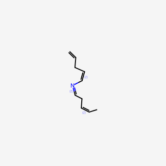 C=CC/C=C\N=C/C/C=C\C